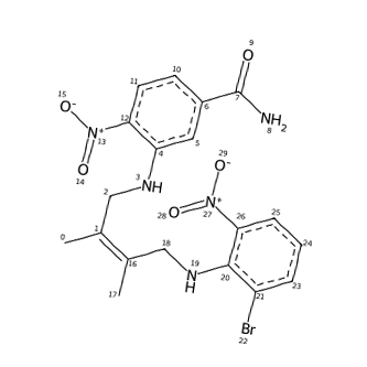 CC(CNc1cc(C(N)=O)ccc1[N+](=O)[O-])=C(C)CNc1c(Br)cccc1[N+](=O)[O-]